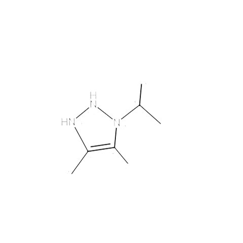 CC1=C(C)N(C(C)C)NN1